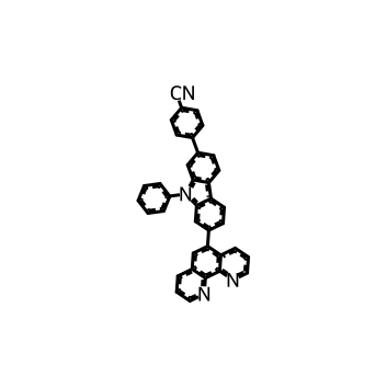 N#Cc1ccc(-c2ccc3c4ccc(-c5cc6cccnc6c6ncccc56)cc4n(-c4ccccc4)c3c2)cc1